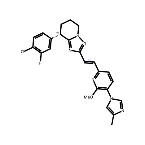 COc1nc(/C=C/c2nc3n(n2)CCC[C@H]3c2ccc(Cl)c(F)c2)ccc1-n1cnc(C)c1